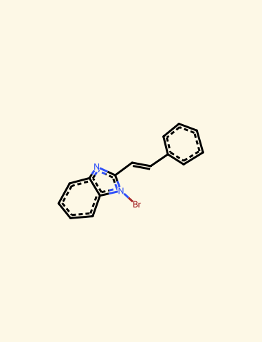 Brn1c(C=Cc2ccccc2)nc2ccccc21